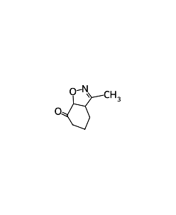 CC1=NOC2C(=O)CCCC12